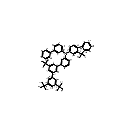 CC(C)(C)c1cc(-c2cccc(N(c3cccc(-c4ccccc4)c3)c3ccc4c(c3)C(C)(C)c3ccccc3-4)c2)cc(-c2cc(C(C)(C)C)cc(C(C)(C)C)c2)c1